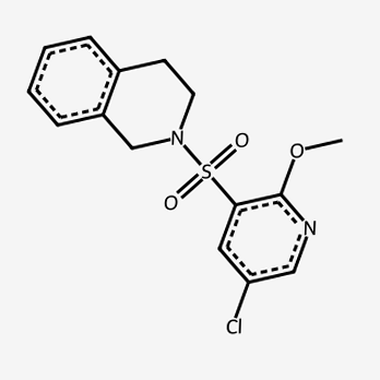 COc1ncc(Cl)cc1S(=O)(=O)N1CCc2ccccc2C1